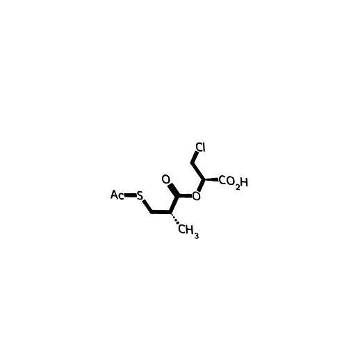 CC(=O)SC[C@@H](C)C(=O)O[C@@H](CCl)C(=O)O